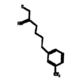 N=C(CF)CCCCc1cccc(C(F)(F)F)c1